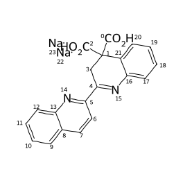 O=C(O)C1(C(=O)O)CC(c2ccc3ccccc3n2)=Nc2ccccc21.[Na].[Na]